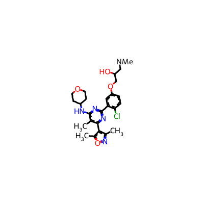 CNCC(O)COc1ccc(Cl)c(-c2nc(NC3CCOCC3)c(C)c(-c3c(C)noc3C)n2)c1